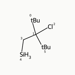 CC(C)(C)C(Cl)(C[SiH3])C(C)(C)C